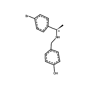 C[C@@H](NCc1ccc(O)cc1)c1ccc(Br)cc1